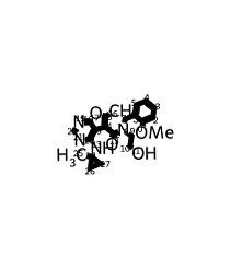 COc1ccccc1CN(CCO)C(=O)c1c(C)oc2ncnc(NC3(C)CC3)c12